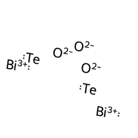 [Bi+3].[Bi+3].[O-2].[O-2].[O-2].[Te].[Te]